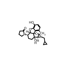 Cc1ccc(O)c2c1[C@]13CC4[C@@H](N4CC4CC4)[C@]1(O)CC[C@@H](N1CCCC1=O)[C@@H]3O2